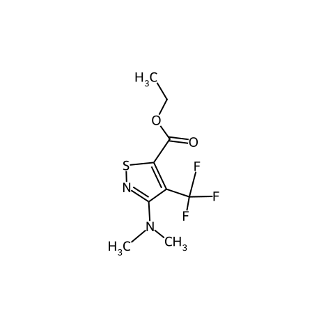 CCOC(=O)c1snc(N(C)C)c1C(F)(F)F